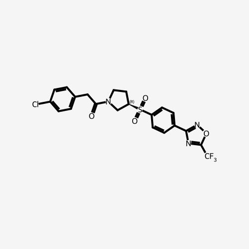 O=C(Cc1ccc(Cl)cc1)N1CC[C@@H](S(=O)(=O)c2ccc(-c3noc(C(F)(F)F)n3)cc2)C1